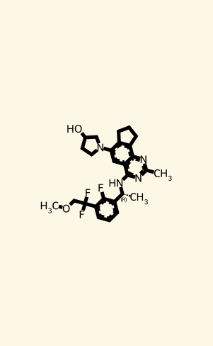 COCC(F)(F)c1cccc([C@@H](C)Nc2nc(C)nc3c4c(c(N5CCC(O)C5)cc23)CCC4)c1F